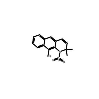 CC1(C)C=Cc2cc3ccccc3c(O)c2N1[SH](=O)=O